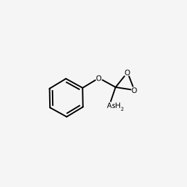 [AsH2]C1(Oc2ccccc2)OO1